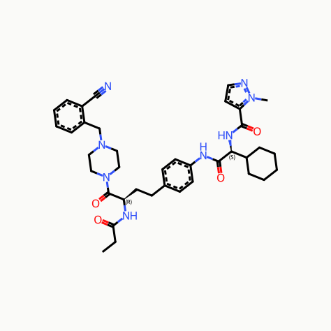 CCC(=O)N[C@H](CCc1ccc(NC(=O)[C@@H](NC(=O)c2ccnn2C)C2CCCCC2)cc1)C(=O)N1CCN(Cc2ccccc2C#N)CC1